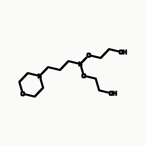 OCCON(CCCN1CCOCC1)OCCO